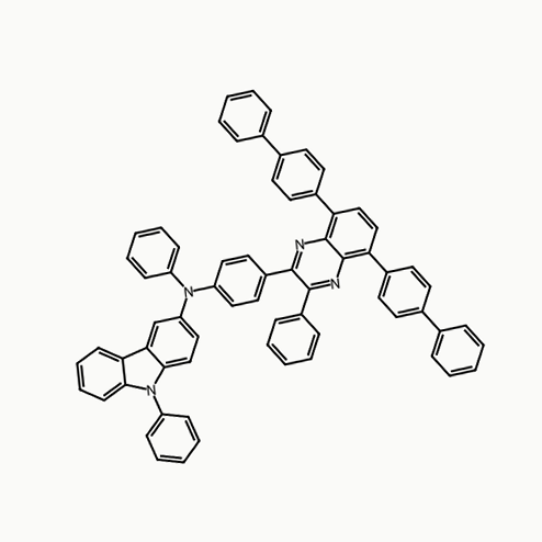 c1ccc(-c2ccc(-c3ccc(-c4ccc(-c5ccccc5)cc4)c4nc(-c5ccc(N(c6ccccc6)c6ccc7c(c6)c6ccccc6n7-c6ccccc6)cc5)c(-c5ccccc5)nc34)cc2)cc1